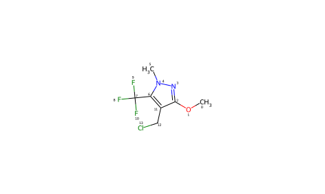 COc1nn(C)c(C(F)(F)F)c1CCl